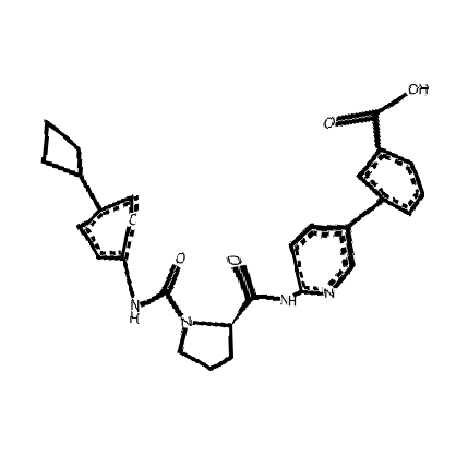 O=C(O)c1cccc(-c2ccc(NC(=O)[C@H]3CCCN3C(=O)Nc3ccc(C4CCC4)cc3)nc2)c1